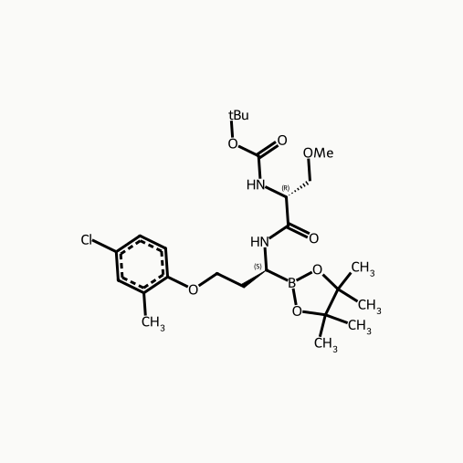 COC[C@@H](NC(=O)OC(C)(C)C)C(=O)N[C@H](CCOc1ccc(Cl)cc1C)B1OC(C)(C)C(C)(C)O1